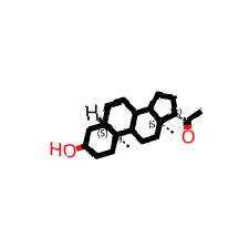 CC(=O)[C@H]1CCC2C3CC[C@H]4CC(O)CC[C@]4(C)C3CC[C@@]21C